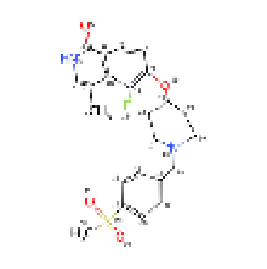 Cc1c[nH]c(=O)c2ccc(OC3CCN(Cc4ccc(S(C)(=O)=O)cc4)CC3)c(F)c12